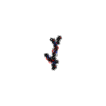 CC1(C)c2ccccc2-c2ccc(N(c3cccc(-c4ccc5ccccc5c4)c3)c3ccc4c(c3)oc3cc5nc(-c6ccc(-c7ccc8ccc(-c9ccccc9N(c9ccc%10c(c9)C(C)(C)c9ccccc9-%10)c9ccc%10c(c9)oc9cc%11oc(-c%12ccccc%12)nc%11cc9%10)cc8c7)cc6)oc5cc34)cc21